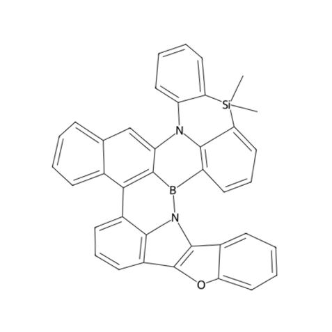 C[Si]1(C)c2ccccc2N2c3cc4ccccc4c4c3B(c3cccc1c32)n1c2c-4cccc2c2oc3ccccc3c21